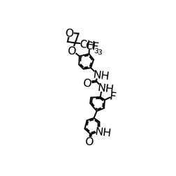 CC1(Oc2ccc(NC(=O)Nc3ccc(-c4ccc(=O)[nH]c4)cc3F)cc2C(F)(F)F)COC1